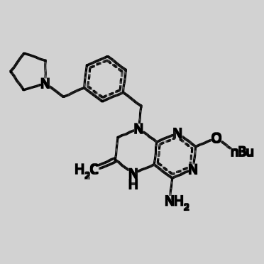 C=C1CN(Cc2cccc(CN3CCCC3)c2)c2nc(OCCCC)nc(N)c2N1